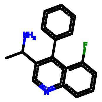 CC(N)c1cnc2cccc(F)c2c1-c1ccccc1